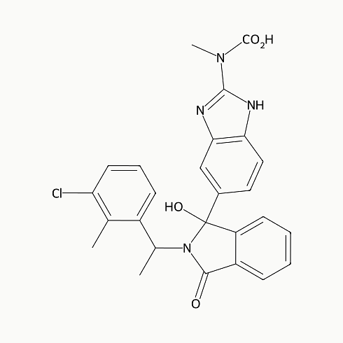 Cc1c(Cl)cccc1C(C)N1C(=O)c2ccccc2C1(O)c1ccc2[nH]c(N(C)C(=O)O)nc2c1